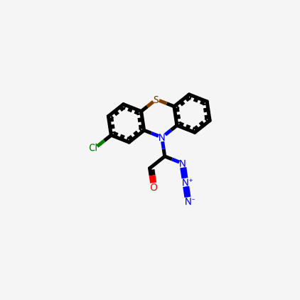 [N-]=[N+]=NC(C=O)N1c2ccccc2Sc2ccc(Cl)cc21